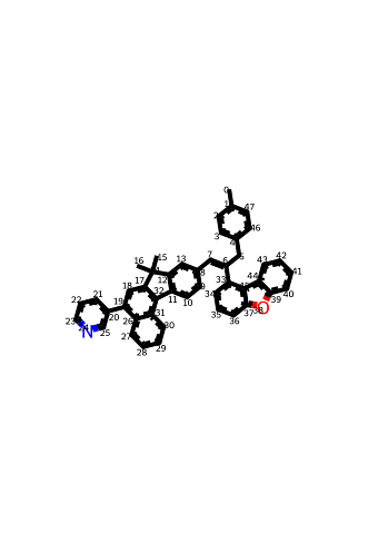 Cc1ccc(C/C(=C/c2ccc3c(c2)C(C)(C)c2cc(-c4cccnc4)c4ccccc4c2-3)c2cccc3oc4ccccc4c23)cc1